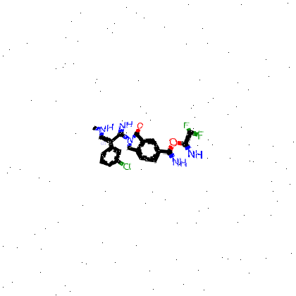 CN/C=C(\C(=N)N1Cc2ccc(C(=N)OC(=N)C(F)F)cc2C1=O)c1cccc(Cl)c1